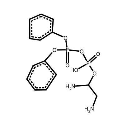 NCC(N)OP(=O)(O)OP(=O)(Oc1ccccc1)Oc1ccccc1